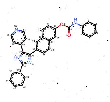 O=C(Nc1ccccc1)Oc1ccc2cc(-c3nc(-c4ccccc4)[nH]c3-c3ccncc3)ccc2c1